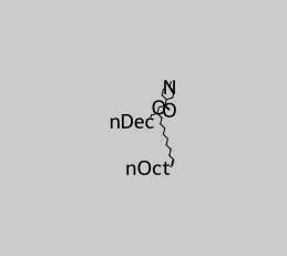 CCCCCCCC/C=C\CCCCCCCCC(CCCCCCCCCCC)OC(=O)C1CCN(C)CC1